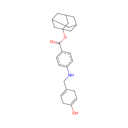 O=C(OC12CC3CC(CC(C3)C1)C2)c1ccc(NCC2=CCC(O)=CC2)cc1